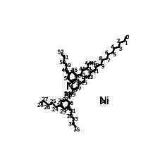 CCCCCCCCCCCCCCCCCCC(C=Nc1cc(CCCCC)cc(CCCCC)c1)=Nc1cc(CCCCC)cc(CCCCC)c1.[Ni]